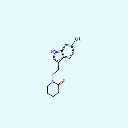 Cc1ccc2c(CCN3CCCCC3=O)c[nH]c2c1